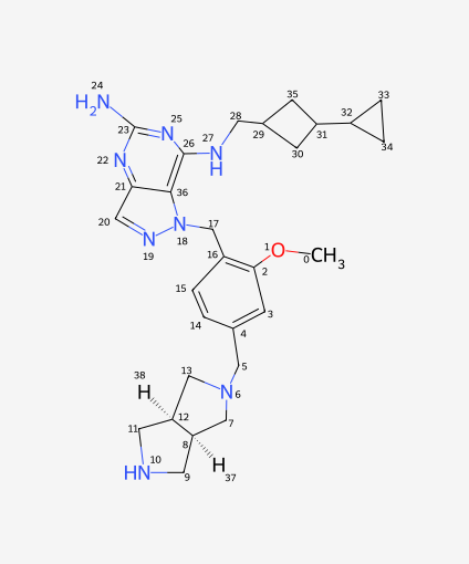 COc1cc(CN2C[C@H]3CNC[C@H]3C2)ccc1Cn1ncc2nc(N)nc(NCC3CC(C4CC4)C3)c21